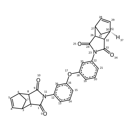 O=C1C2C3C=CC(C3)C2C(=O)N1c1cccc(Oc2cccc(N3C(=O)C4C5C=C[C@H](C5)C4C3=O)c2)c1